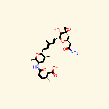 CC(/C=C/[C@H]1O[C@H](CC(N)=O)C[C@@]2(CO2)[C@@H]1O)=C\C[C@@H]1O[C@H](C)[C@H](NC(=O)/C=C\[C@@H](C)CC(=O)O)C[C@@H]1C